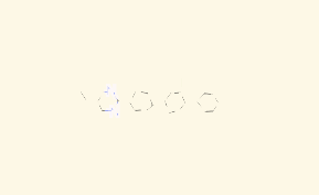 C=Cc1cnc(-c2ccc(-c3ccc(-c4ccc(CF)cc4)c(F)c3)cc2)nc1